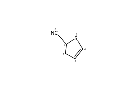 N#C[C]1CC=CS1